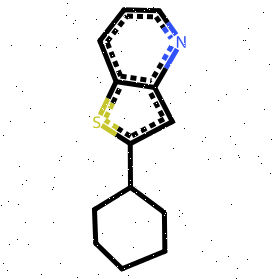 c1cnc2cc([C]3CCCCC3)sc2c1